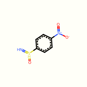 N=[SH](=O)c1ccc([N+](=O)[O-])cc1